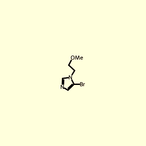 COCCn1cncc1Br